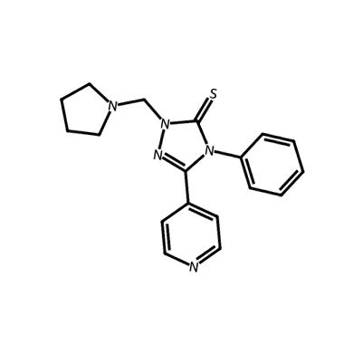 S=c1n(CN2CCCC2)nc(-c2ccncc2)n1-c1ccccc1